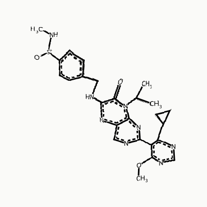 CN[S+]([O-])c1ccc(CNc2nc3cnc(-c4c(OC)ncnc4C4CC4)nc3n(C(C)C)c2=O)cc1